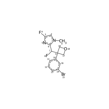 Cn1cc(F)nc1C(F)C1(c2cccc(Br)c2)COC1